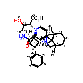 COC1(c2ccnc(C(N)=O)c2)[C@@H]2CCC[C@H]1CN([C@H]1CC[C@H]1c1ccccc1)C2.O=C(O)C[C@H](O)C(=O)O